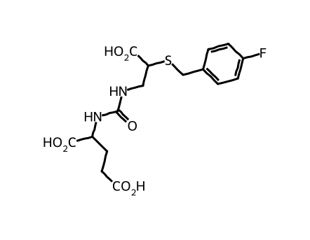 O=C(O)CCC(NC(=O)NCC(SCc1ccc(F)cc1)C(=O)O)C(=O)O